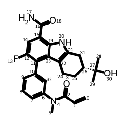 C=CC(=O)N(C)c1cccc(-c2c(F)cc(C(N)=O)c3[nH]c4c(c23)CC[C@@H](C(C)(C)O)C4)c1